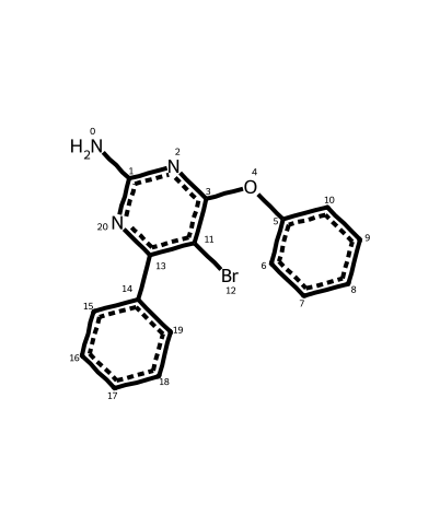 Nc1nc(Oc2ccccc2)c(Br)c(-c2ccccc2)n1